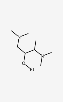 CCOC(CN(C)C)C(C)N(C)C